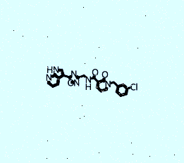 O=C(NCc1noc(-c2c[nH]c3ncccc23)n1)c1cccn(Cc2cccc(Cl)c2)c1=O